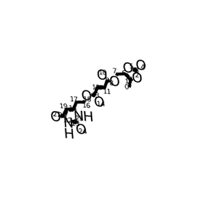 Cc1oc(=O)oc1COC(=O)/C=C/C(=O)OCCc1cc(=O)[nH]c(=O)[nH]1